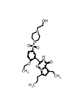 CCCc1cc(CC)c2c(=O)[nH]c(-c3cc(S(=O)(=O)N4CCN(CCO)CC4)ccc3OCC)nn12